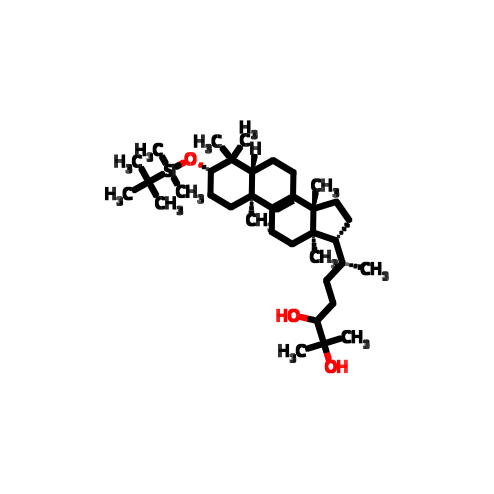 C[C@H](CCC(O)C(C)(C)O)[C@H]1CC[C@@]2(C)C3=C(CC[C@]12C)[C@@]1(C)CC[C@H](O[Si](C)(C)C(C)(C)C)C(C)(C)[C@@H]1CC3